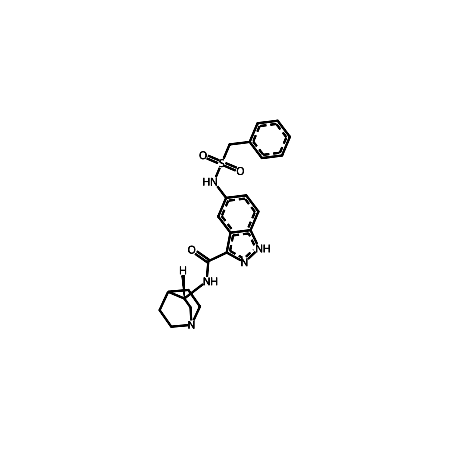 O=C(N[C@@H]1CN2CCC1CC2)c1n[nH]c2ccc(NS(=O)(=O)Cc3ccccc3)cc12